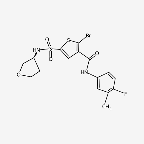 Cc1cc(NC(=O)c2cc(S(=O)(=O)N[C@H]3CCOC3)sc2Br)ccc1F